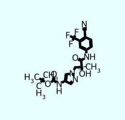 CC(C)(C)OC(=O)Nc1cnn(C[C@](C)(O)C(=O)Nc2ccc(C#N)c(C(F)(F)F)c2)c1